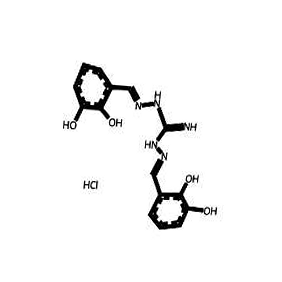 Cl.N=C(NN=Cc1cccc(O)c1O)NN=Cc1cccc(O)c1O